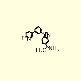 C[C@H](N)c1ccc2c(c1)ncn2-c1cccc(-c2ccc(F)nc2)c1